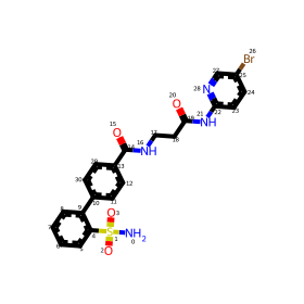 NS(=O)(=O)c1ccccc1-c1ccc(C(=O)NCCC(=O)Nc2ccc(Br)cn2)cc1